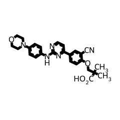 CC(C)(COc1ccc(-c2ccnc(Nc3ccc(N4CCOCC4)cc3)n2)cc1C#N)C(=O)O